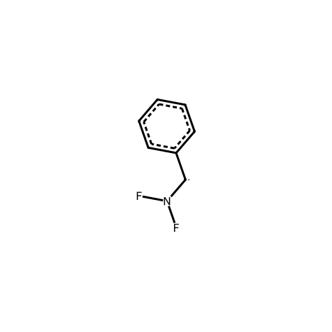 FN(F)[CH]c1ccccc1